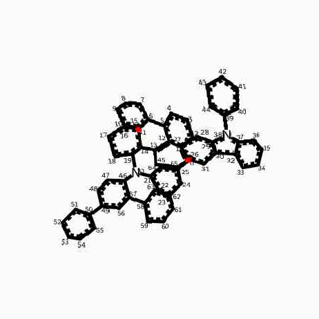 C1=c2cccc(-c3ccccc3)c2=C(c2ccccc2N(c2cccc(-c3ccc4c(c3)c3ccccc3n4-c3ccccc3)c2)c2ccc(-c3ccccc3)cc2-c2ccccc2)CC1